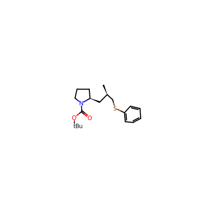 C[C@@H](CSc1ccccc1)C[C@@H]1CCCN1C(=O)OC(C)(C)C